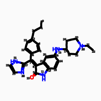 CCCc1ccc(/C(=C2/C(=O)Nc3ccc(NC4CCN(CC)CC4)cc32)c2ncc[nH]2)cc1